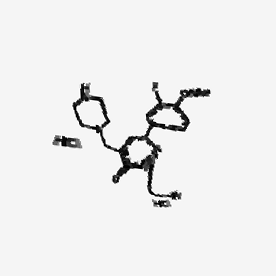 COc1ccc(-c2cc(CN3CCNCC3)c(=O)n(CC(C)C)n2)cc1F.Cl.Cl